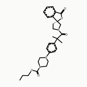 CCCOC(=O)N1CCN(c2ccc(C(C)(C)C(=O)N3CC[C@@]4(C3)OC(=O)c3ccccc34)cc2)CC1